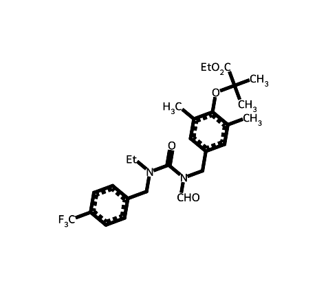 CCOC(=O)C(C)(C)Oc1c(C)cc(CN(C=O)C(=O)N(CC)Cc2ccc(C(F)(F)F)cc2)cc1C